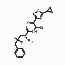 CCC(NC(=O)[C@@H](N)CC(F)(F)Cc1ccccc1)C(=O)c1noc(C2CC2)n1